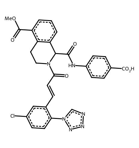 COC(=O)c1cccc2c1CCN(C(=O)C=Cc1cc(Cl)ccc1-n1cnnn1)C2C(=O)Nc1ccc(C(=O)O)cc1